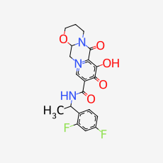 CC(NC(=O)c1cn2c(c(O)c1=O)C(=O)N1CCCOC1C2)c1ccc(F)cc1F